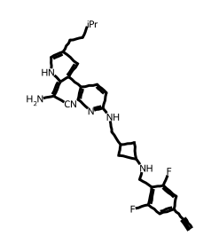 C#Cc1cc(F)c(CNC2CC(CNc3ccc(C4=CC(CCC(C)C)=CN/C4=C(\N)C#N)cn3)C2)c(F)c1